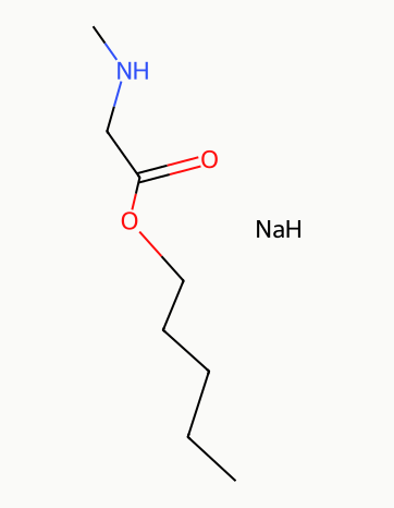 CCCCCOC(=O)CNC.[NaH]